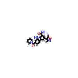 Cc1noc(C)c1-c1cc(C(N)=O)c2[nH]c3cc(C(=O)N4CCCCC4)ccc3c2c1